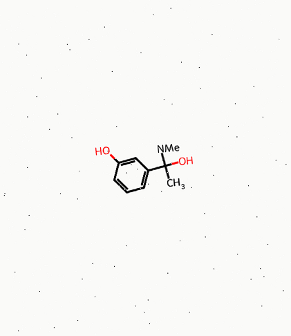 CNC(C)(O)c1cccc(O)c1